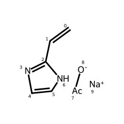 C=Cc1ncc[nH]1.CC(=O)[O-].[Na+]